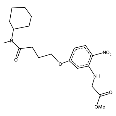 COC(=O)CNc1cc(OCCCC(=O)N(C)C2CCCCC2)ccc1[N+](=O)[O-]